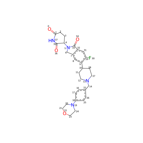 O=C1CCC(N2Cc3cc(C4CCN(Cc5ccc(N6CCOCC6)cc5)CC4)c(F)cc3C2=O)C(=O)N1